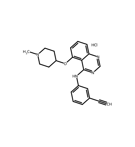 C#Cc1cccc(Nc2ncnc3cccc(OC4CCN(C)CC4)c23)c1.Cl